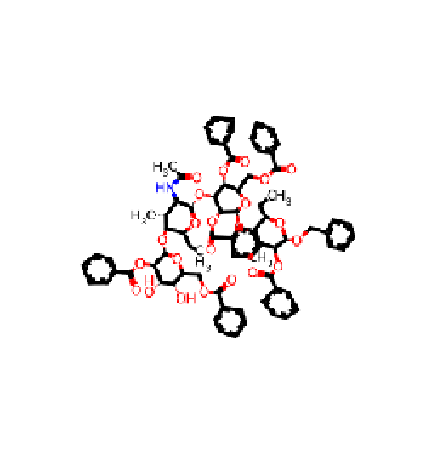 CCC1O[C@@H](O[C@@H]2C(OC(=O)c3ccccc3)[C@H](O[C@@H]3C(CC)O[C@@H](OCc4ccccc4)C(OC(=O)c4ccccc4)[C@H]3C)OC(COC(=O)c3ccccc3)[C@@H]2OC(=O)c2ccccc2)C(NC(C)=O)[C@@H](C)[C@@H]1O[C@@H]1OC(COC(=O)c2ccccc2)[C@H](O)[C@H](O)C1OC(=O)c1ccccc1